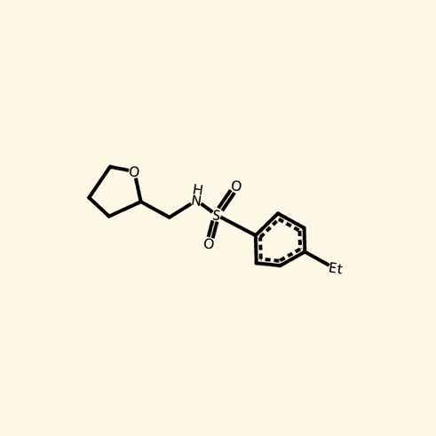 CCc1ccc(S(=O)(=O)NCC2CCCO2)cc1